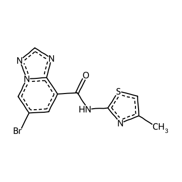 Cc1csc(NC(=O)c2cc(Br)cn3ncnc23)n1